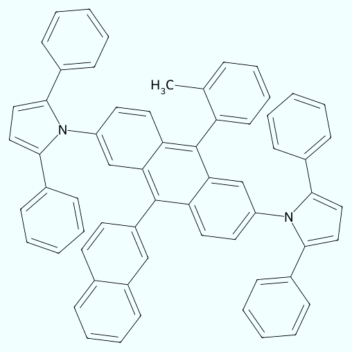 Cc1ccccc1-c1c2ccc(-n3c(-c4ccccc4)ccc3-c3ccccc3)cc2c(-c2ccc3ccccc3c2)c2ccc(-n3c(-c4ccccc4)ccc3-c3ccccc3)cc12